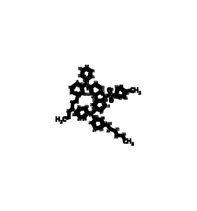 CCCCCCc1cccc(N(C2=CC3c4cc(N(c5ccccc5)c5cccc(CCCCCC)c5)ccc4N(S(=O)(=O)c4ccc(C)cc4)C3C=C2)c2ccccc2)c1